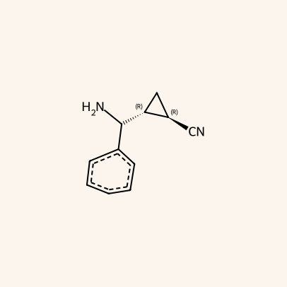 N#C[C@@H]1C[C@H]1C(N)c1ccccc1